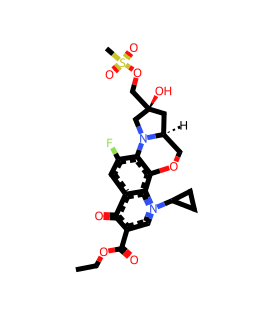 CCOC(=O)c1cn(C2CC2)c2c3c(c(F)cc2c1=O)N1C[C@](O)(COS(C)(=O)=O)C[C@H]1CO3